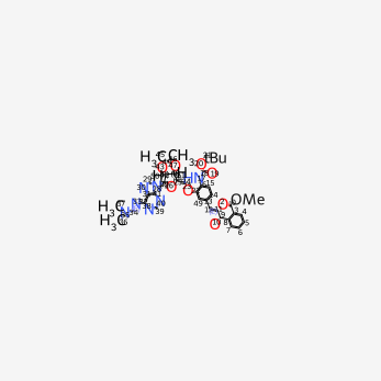 COC(=O)c1ccccc1C(=O)/C=C/c1ccc(NC(=O)OC(C)(C)C)c(OC[C@H]2O[C@@H](n3cnc4c(/N=C/N(C)C)ncnc43)[C@@H]3OC(C)(C)O[C@@H]32)c1